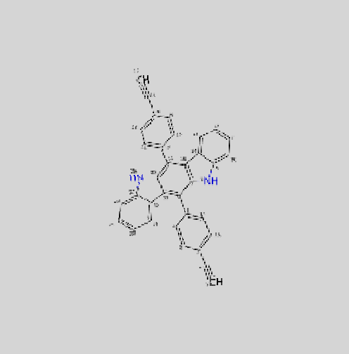 C#Cc1ccc(-c2c3[nH]c4ccccc4c3c(-c3ccc(C#C)cc3)c3[nH]c4ccccc4c23)cc1